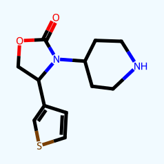 O=C1OCC(c2ccsc2)N1C1CCNCC1